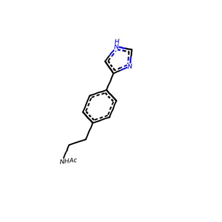 CC(=O)NCCc1ccc(-c2c[nH]cn2)cc1